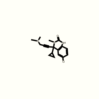 CN(C)CC#CC1(C2CC2)c2cc(Cl)ccc2NC(=O)N1C